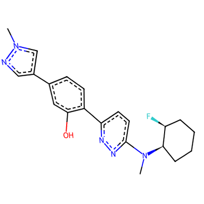 CN(c1ccc(-c2ccc(-c3cnn(C)c3)cc2O)nn1)[C@@H]1CCCC[C@@H]1F